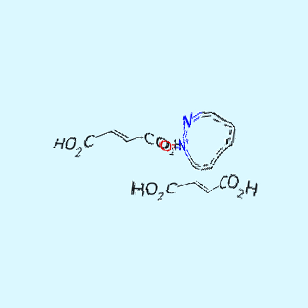 O=C(O)/C=C/C(=O)O.O=C(O)/C=C/C(=O)O.O=[n+]1cccccn1